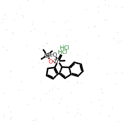 Cl.Cl.[CH2]=[Zr]([CH3])([O]C)([O][Si](C)(C)C)([C]1=CC=CC1)[CH]1C=Cc2ccccc21